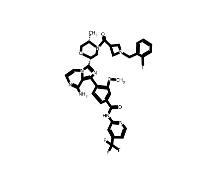 COc1cc(C(=O)Nc2cc(C(F)(F)F)ccn2)ccc1-c1nc([C@H]2CN(C(=O)C3CN(Cc4ccccc4F)C3)[C@@H](C)CO2)n2ccnc(N)c12